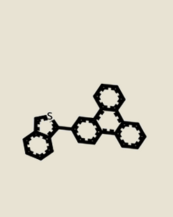 c1ccc2c(-c3ccc4c5ccccc5c5ccccc5c4c3)scc2c1